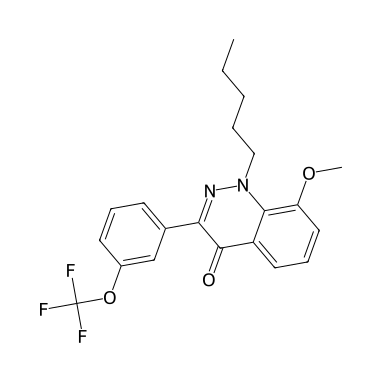 CCCCCn1nc(-c2cccc(OC(F)(F)F)c2)c(=O)c2cccc(OC)c21